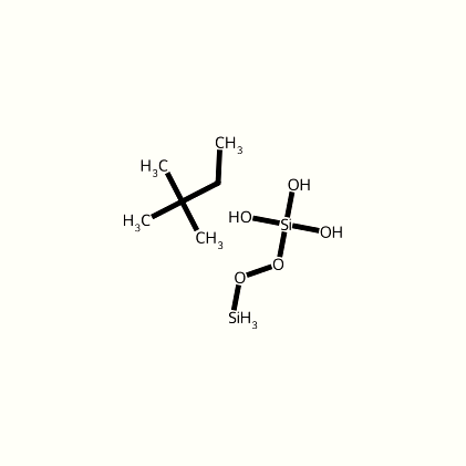 CCC(C)(C)C.O[Si](O)(O)OO[SiH3]